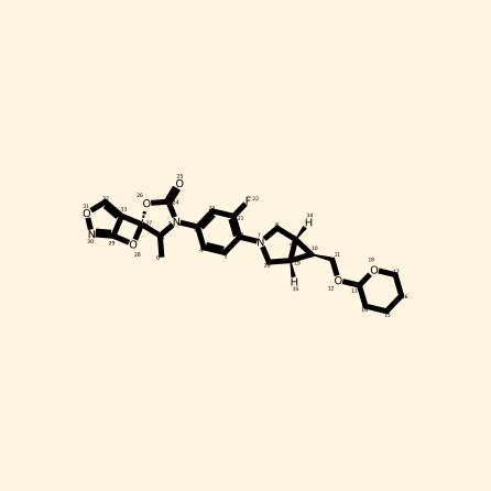 CC1N(c2ccc(N3C[C@@H]4[C@@H](COC5CCCCO5)[C@@H]4C3)c(F)c2)C(=O)O[C@@]12Oc1nocc12